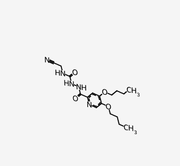 CCCCOc1cnc(C(=O)NNC(=O)NCC#N)cc1OCCCC